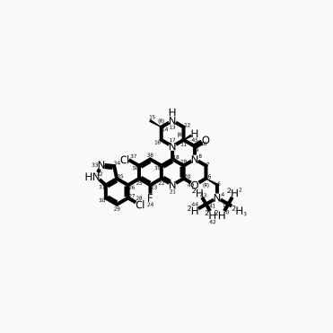 [2H]C([2H])([2H])N(C[C@@H]1CN2C(=O)[C@H]3CN[C@H](C)CN3c3c2c(nc2c(F)c(-c4c(Cl)ccc5[nH]ncc45)c(Cl)cc32)O1)C([2H])([2H])[2H]